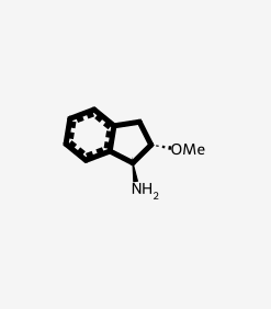 CO[C@H]1Cc2ccccc2[C@@H]1N